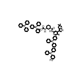 CC1(C)Cc2c(-c3cc(NC(=O)[C@@H]4CCC[C@@H](NC(=O)O)C4)ncc3F)cnn2C1.[Pd].c1ccc(P(c2ccccc2)c2ccccc2)cc1.c1ccc(P(c2ccccc2)c2ccccc2)cc1.c1ccc(P(c2ccccc2)c2ccccc2)cc1.c1ccc(P(c2ccccc2)c2ccccc2)cc1